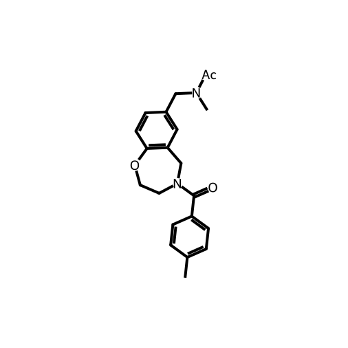 CC(=O)N(C)Cc1ccc2c(c1)CN(C(=O)c1ccc(C)cc1)CCO2